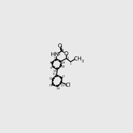 CCC1OC(=O)Nc2ccc(-c3cccc(Cl)c3)cc21